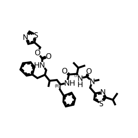 CC(C)c1nc(CN(C)C(=O)N[C@H](C(=O)N[C@@H](Cc2ccccc2)CC(C)C(CNC(=O)OCc2cncs2)Cc2ccccc2)C(C)C)cs1